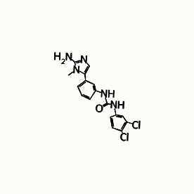 Cn1c(-c2cccc(NC(=O)Nc3ccc(Cl)c(Cl)c3)c2)cnc1N